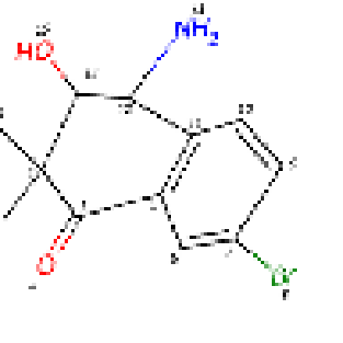 CC1(C)C(=O)c2cc(Br)ccc2C(N)C1O